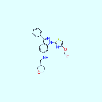 O=COc1csc(-n2nc(-c3ccccc3)c3ccc(NCC4CCOC4)cc32)n1